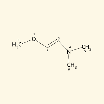 COC=CN(C)C